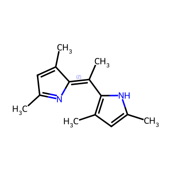 CC1=CC(C)=N/C1=C(/C)c1[nH]c(C)cc1C